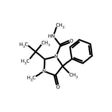 CNC(=O)N1C(C(C)(C)C)N(C)C(=O)C1(C)c1ccccc1